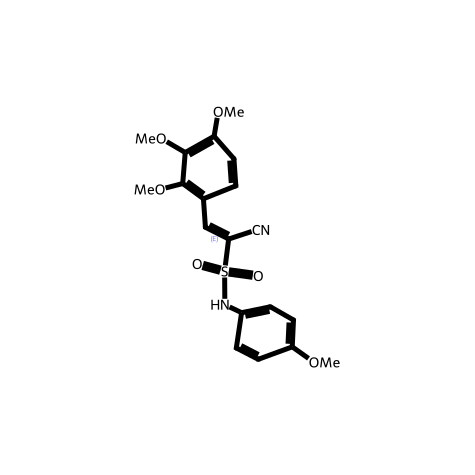 COc1ccc(NS(=O)(=O)/C(C#N)=C/c2ccc(OC)c(OC)c2OC)cc1